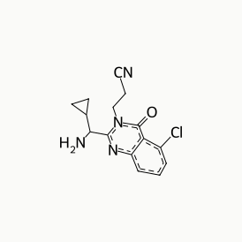 N#CCCn1c(C(N)C2CC2)nc2cccc(Cl)c2c1=O